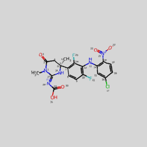 CN1C(=O)C[C@@](C)(c2ccc(F)c(Nc3cc(Cl)ccc3[N+](=O)[O-])c2F)N/C1=N\C(=O)O